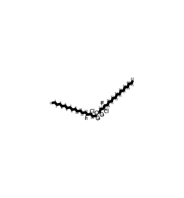 CCCCCCCCCCCCCCC(F)C(Cl)CC(=O)OC(=O)CC(Cl)C(F)CCCCCCCCCCCCCC